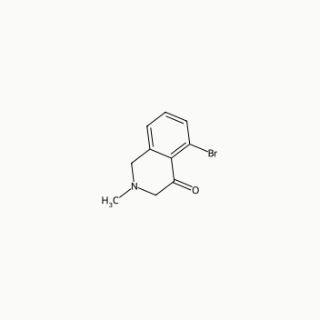 CN1CC(=O)c2c(Br)cccc2C1